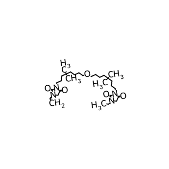 C=CN1CC(=O)N(CCCC(C)(C)CCCCOCCCCC(C)(C)CCCN2C(=O)CN(CC)C2=O)C1=O